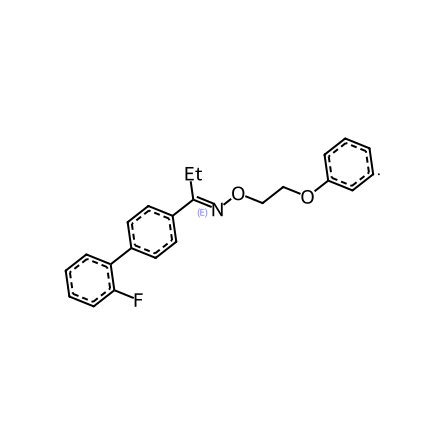 CC/C(=N\OCCOc1c[c]ccc1)c1ccc(-c2ccccc2F)cc1